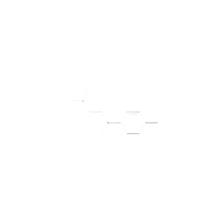 C=C(CCC(=O)O)c1ccc(C)cc1